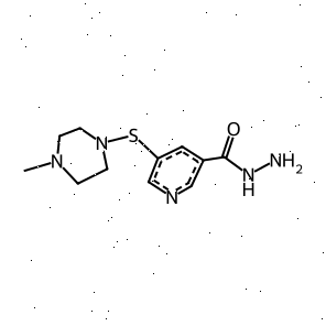 CN1CCN(Sc2cncc(C(=O)NN)c2)CC1